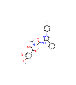 COc1ccc(C(OC)C(=O)N(CC(=O)Nc2nn(-c3ccc(F)cc3)cc2-c2ccccc2)C(C)C)cc1OC